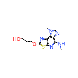 CNc1nc2sc(OCCCO)nc2c2c1ncn2C